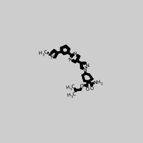 CC(C)COC(=O)C1(C(N)=O)CCC(n2cc(-c3cnc(-c4cccc(-c5cnn(C)c5)c4)nc3)cn2)CC1